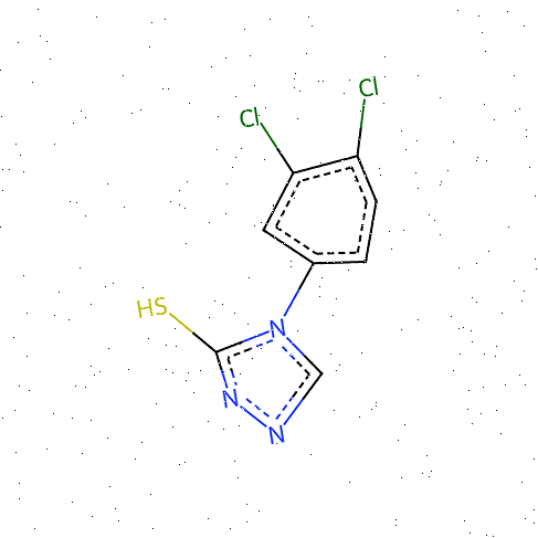 Sc1nncn1-c1ccc(Cl)c(Cl)c1